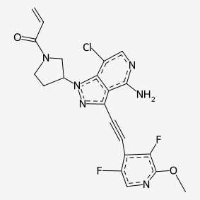 C=CC(=O)N1CCC(n2nc(C#Cc3c(F)cnc(OC)c3F)c3c(N)ncc(Cl)c32)C1